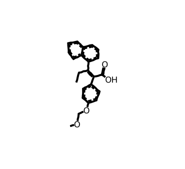 CC/C(=C(/C(=O)O)c1ccc(OCOC)cc1)c1cccc2ccccc12